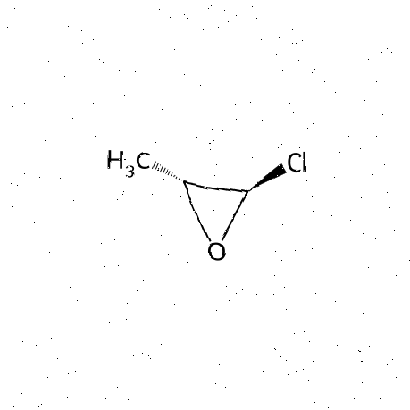 C[C@H]1O[C@@H]1Cl